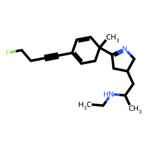 CCNC(C)CC1CN=C(C2(C)C=CC(C#CCCF)=CC2)C1